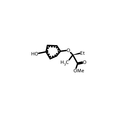 CC[C@@](C)(Oc1ccc(O)cc1)C(=O)OC